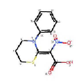 O=C(O)C(=C1SCCCN1c1ccccc1)[N+](=O)[O-]